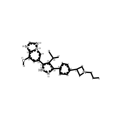 CCCN1CC(c2ccc(-c3n[nH]c(-c4cc(OC)c5ncnn5c4)c3C(C)C)cc2)C1